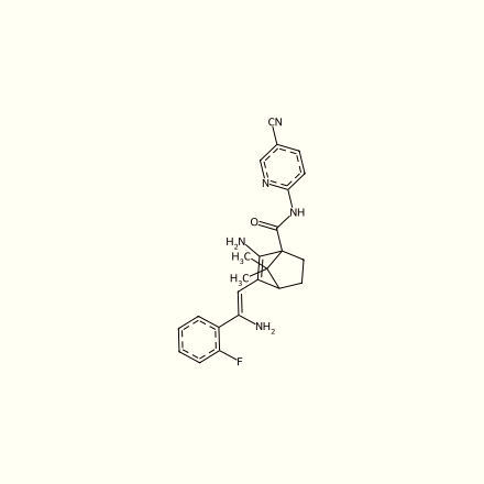 CC1(C)C2CCC1(C(=O)Nc1ccc(C#N)cn1)C(N)=C2/C=C(\N)c1ccccc1F